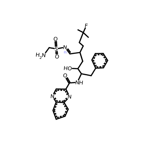 CC(C)(F)CCC(/C=N/S(=O)(=O)CN)CC(O)C(Cc1ccccc1)NC(=O)c1cnc2ccccc2n1